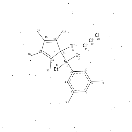 CC[Si](CC)(c1cc(C)cc(C)c1)[C]1([Ti+3])C(C)=C(C)C(C)=C1C.[Cl-].[Cl-].[Cl-]